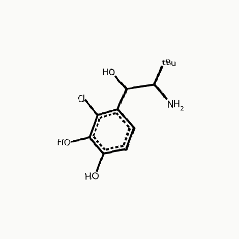 CC(C)(C)C(N)C(O)c1ccc(O)c(O)c1Cl